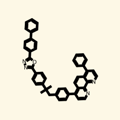 CC(C)(Cc1ccc(-c2ccnc3c2ccc2c(-c4ccccc4)ccnc23)cc1)c1ccc(-c2nnc(-c3ccc(-c4ccccc4)cc3)o2)cc1